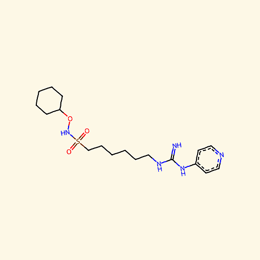 N=C(NCCCCCCS(=O)(=O)NOC1CCCCC1)Nc1ccncc1